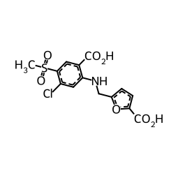 CS(=O)(=O)c1cc(C(=O)O)c(NCc2ccc(C(=O)O)o2)cc1Cl